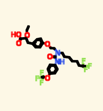 CCOC(Cc1ccc(OCCN(CCCCCCC(F)(F)F)C(=O)Nc2ccc(OC(F)(F)F)cc2)cc1)C(=O)O